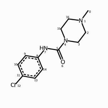 CN1CCN(C(=O)Nc2ccc(Cl)cc2)CC1